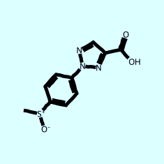 C[S+]([O-])c1ccc(-n2ncc(C(=O)O)n2)cc1